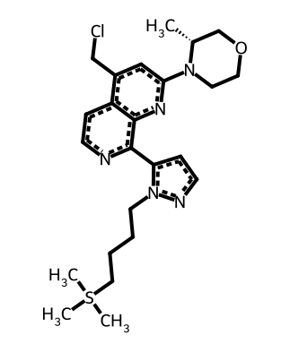 C[C@@H]1COCCN1c1cc(CCl)c2ccnc(-c3ccnn3CCCCS(C)(C)C)c2n1